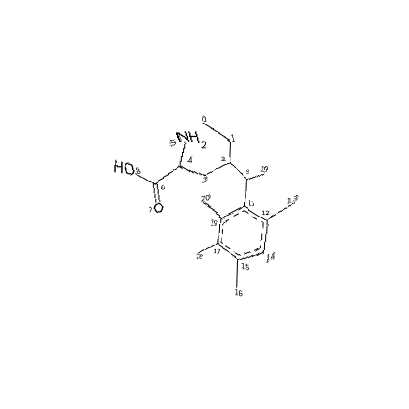 CCC(CC(N)C(=O)O)C(C)c1c(C)cc(C)c(C)c1C